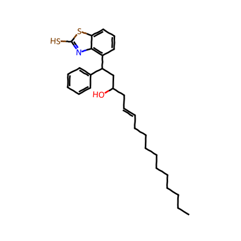 CCCCCCCCCCC=CCC(O)CC(c1ccccc1)c1cccc2sc(S)nc12